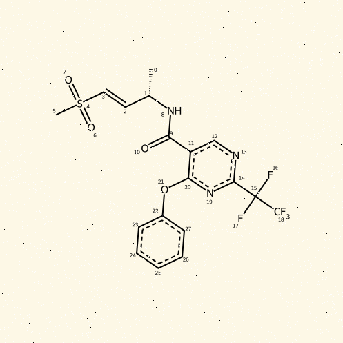 C[C@@H](/C=C/S(C)(=O)=O)NC(=O)c1cnc(C(F)(F)C(F)(F)F)nc1Oc1ccccc1